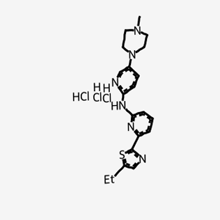 CCc1cnc(-c2cccc(Nc3ccc(N4CCN(C)CC4)cn3)n2)s1.Cl.Cl.Cl